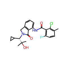 Cc1ccc(F)c(C(=O)Nc2cccc3c2C(=O)N([C@@H](C2CC2)C(C)(C)O)C3)c1Cl